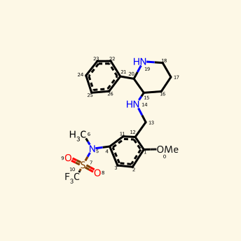 COc1ccc(N(C)S(=O)(=O)C(F)(F)F)cc1CNC1CCCNC1c1ccccc1